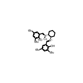 CC(C)(C)c1cc(C=[N+][C@@H]2CCCC[C@H]2[N+]([Co])=Cc2cc(C(C)(C)C)cc(C(C)(C)C)c2O)c(O)c(C(C)(C)C)c1